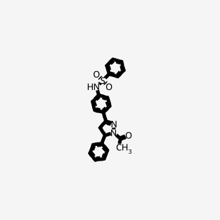 CC(=O)N1N=C(c2ccc(NS(=O)(=O)c3ccccc3)cc2)CC1c1ccccc1